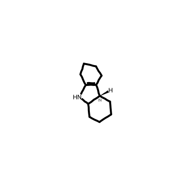 C1CCC2=C(C1)NC1CCCC[C@@H]21